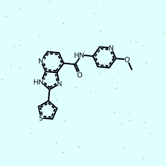 COc1ccc(NC(=O)c2ccnc3[nH]c(-c4ccsc4)nc23)cn1